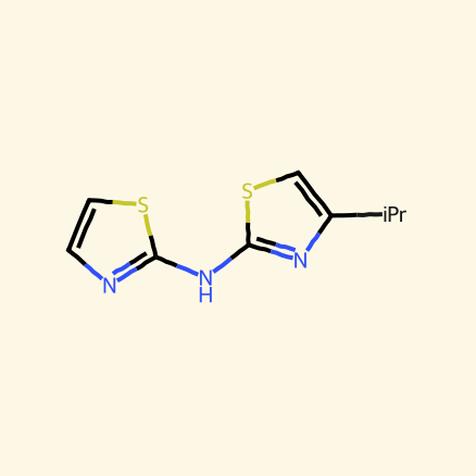 CC(C)c1csc(Nc2nccs2)n1